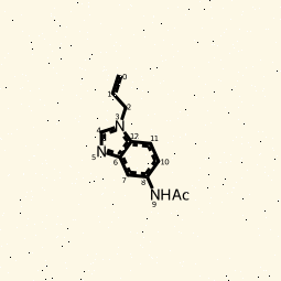 C=CCn1cnc2cc(NC(C)=O)ccc21